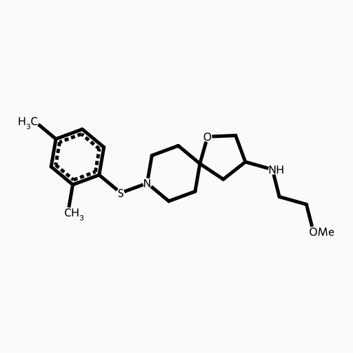 COCCNC1COC2(CCN(Sc3ccc(C)cc3C)CC2)C1